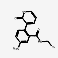 COc1ccc(-c2ccc[nH]c2=O)c(C(=O)NCC#N)c1